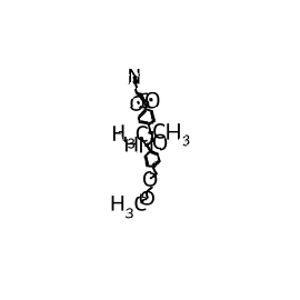 COCCOCc1ccc(NC(=O)C(C)(C)c2ccc(S(=O)(=O)/C=C/C#N)cc2)cc1